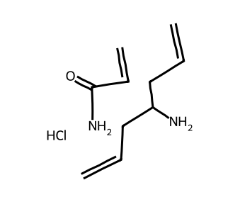 C=CC(N)=O.C=CCC(N)CC=C.Cl